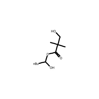 CCCCC(O)OC(=O)C(C)(C)CO